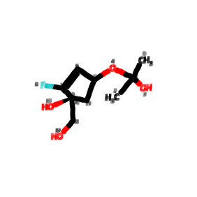 CC(C)(O)OC1C=C(F)[C@@](O)(CO)C1